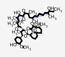 CC[C@H](O)/C(C)=C/C=C/C=C/[C@@H](C)C[C@@H](C)C(=O)[C@H](OC)[C@H](O)/C(C)=C/[C@@H](C)C(=O)C[C@H](OC(=O)[C@@H]1CCCCN1C(=O)C(=O)[C@]1(O)OCCC[C@H]1C)[C@H](C)C[C@@H]1CC[C@@H](O)[C@H](OC)C1